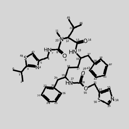 CC(C)c1nc(CNC(=O)N(C)C(C(=O)NC(CCC(Cc2ccccc2)NC(=O)OCc2cncs2)Cc2ccccc2)C(C)C)cs1